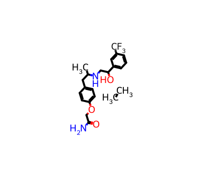 CC.CC(Cc1ccc(OCC(N)=O)cc1)NCC(O)c1cccc(C(F)(F)F)c1